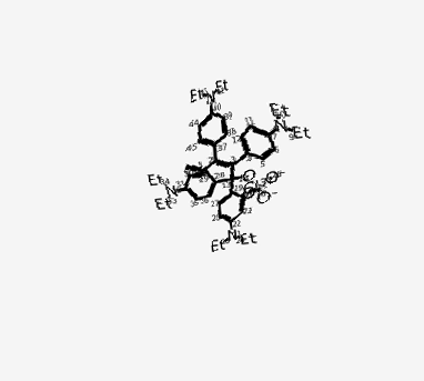 C=CC(=C(c1ccc(N(CC)CC)cc1)C(O[Cl+3]([O-])([O-])[O-])(c1ccc(N(CC)CC)cc1)c1ccc(N(CC)CC)cc1)c1ccc(N(CC)CC)cc1